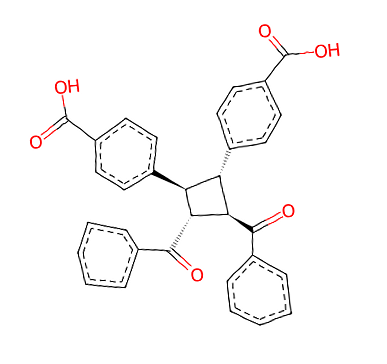 O=C(O)c1ccc([C@@H]2[C@@H](C(=O)c3ccccc3)[C@H](C(=O)c3ccccc3)[C@H]2c2ccc(C(=O)O)cc2)cc1